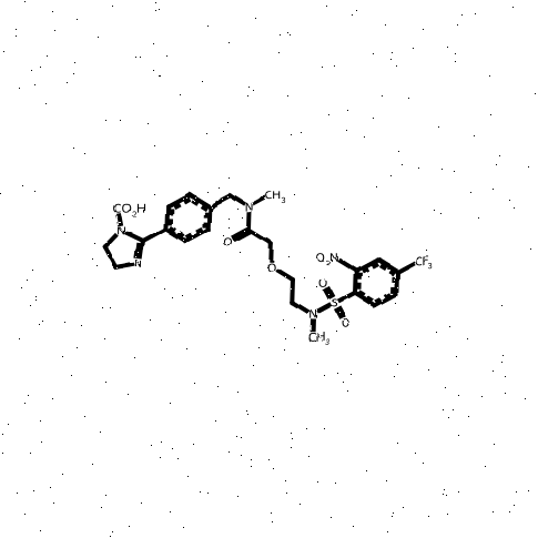 CN(Cc1ccc(C2=NCCN2C(=O)O)cc1)C(=O)COCCN(C)S(=O)(=O)c1ccc(C(F)(F)F)cc1[N+](=O)[O-]